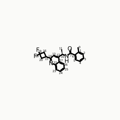 Cc1ccccc1C(=O)N[C@H](C)c1cc(C2CC(F)(F)C2)nc2ccccc12